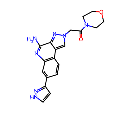 Nc1nc2cc(-c3cc[nH]n3)ccc2c2cn(CC(=O)N3CCOCC3)nc12